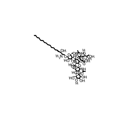 CCCCCCCCCCCCC/C=C/[C@@H](O)[C@@H](N)CO[C@@H]1O[C@H](CO)[C@@H](O[C@@H]2O[C@H](CO)[C@H](O[C@@H]3O[C@H](CO)[C@H](O)[C@H](O[C@@H]4O[C@H](CO)[C@H](O)[C@H](O)[C@H]4O)[C@H]3NC(C)=O)[C@H](O[C@]3(C(=O)O)C[C@H](O)[C@@H](NC(C)=O)[C@H]([C@H](O)[C@H](O)CO)O3)[C@H]2O)[C@H](O)[C@H]1O